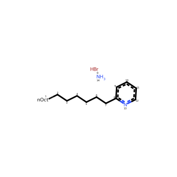 Br.CCCCCCCCCCCCCCc1ccccn1.N